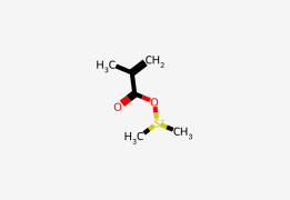 C=C(C)C(=O)O[S+](C)C